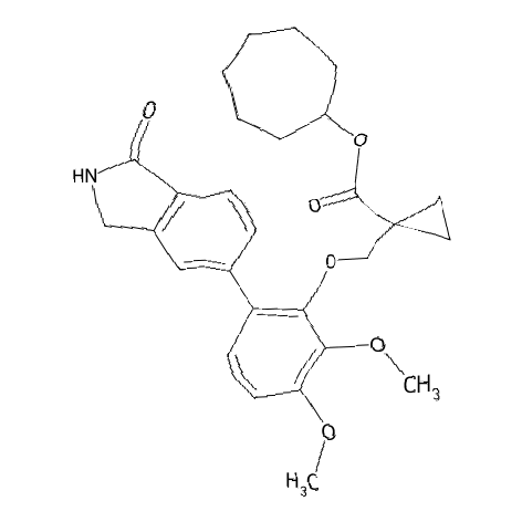 COc1ccc(-c2ccc3c(c2)CNC3=O)c(OCC2(C(=O)OC3CCCCCC3)CC2)c1OC